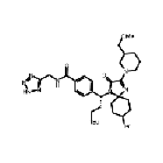 COCC1CCCN(C2=NC3(CCC(C(C)C)CC3)N([C@H](CCC(C)(C)C)c3ccc(C(=O)NCc4nn[nH]n4)cc3)C2=O)C1